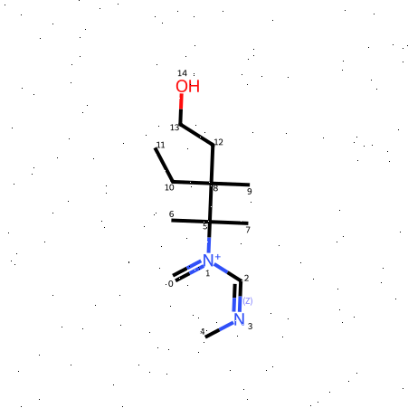 C=[N+](/C=N\C)C(C)(C)C(C)(CC)CCO